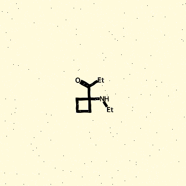 CCNC1(C(=O)CC)CCC1